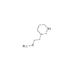 CSCCC1CCCNC1